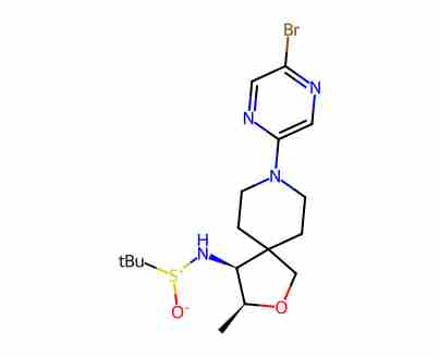 C[C@@H]1OCC2(CCN(c3cnc(Br)cn3)CC2)[C@@H]1N[S+]([O-])C(C)(C)C